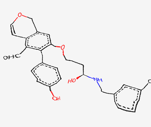 O=Cc1c2c(cc(OCC[C@H](O)NCc3cccc(C(F)(F)F)c3)c1-c1ccc(O)cc1)COC=C2